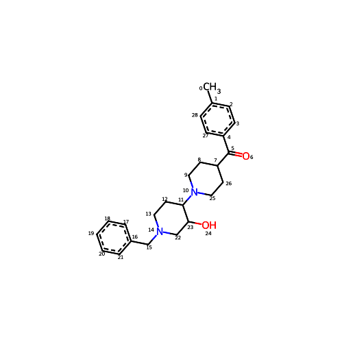 Cc1ccc(C(=O)C2CCN(C3CCN(Cc4ccccc4)CC3O)CC2)cc1